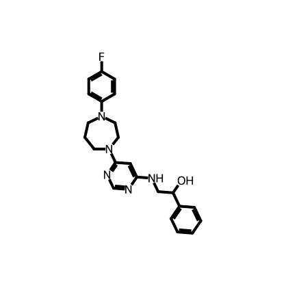 OC(CNc1cc(N2CCCN(c3ccc(F)cc3)CC2)ncn1)c1ccccc1